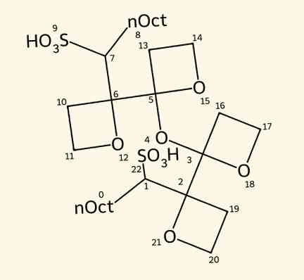 CCCCCCCCC(C1(C2(OC3(C4(C(CCCCCCCC)S(=O)(=O)O)CCO4)CCO3)CCO2)CCO1)S(=O)(=O)O